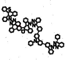 c1ccc(-c2nc(-n3c4ccccc4c4cc(-c5ccc6c(c5)c5cc(-c7cccc(-c8nc(-n9c%10ccccc%10c%10c%11c%12ccc(-c%13ccccc%13-c%13nc(-n%14c%15ccccc%15c%15c%16c%17ccccc%17sc%16c%16ccccc%16c%15%14)nc%14ccccc%13%14)cc%12oc%11c%11ccccc%11c%109)nc9ccccc89)c7)ccc5n6-c5ccccc5)ccc43)nc3ccccc23)cc1